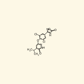 CC(C)c1cc(Oc2c(Cl)cc(-c3noc(=O)[nH]3)cc2Cl)n[nH]c1=O